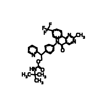 Cc1ncc(C(=O)Nc2ccc(C(COC(=O)NC(C)(C)C)c3ccccn3)cc2)c(-c2ccc(C(F)(F)F)cc2)n1